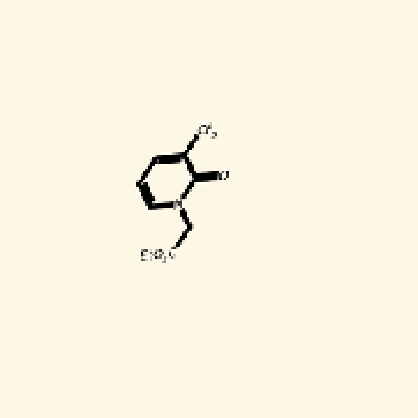 CCOC(=O)Cn1cccc(C(F)(F)F)c1=O